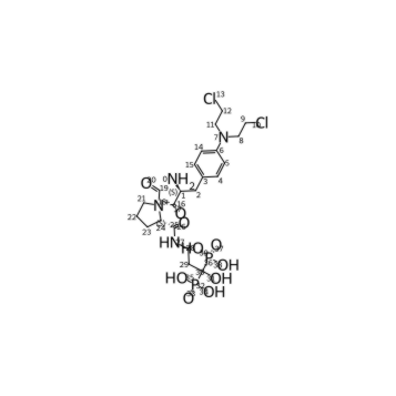 N[C@@H](Cc1ccc(N(CCCl)CCCl)cc1)C(=O)[N+]1(C=O)CCC[C@H]1C(=O)NCCC(O)(P(=O)(O)O)P(=O)(O)O